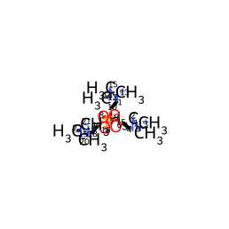 C[N+](C)(C)CCOP(=O)(OCC[N+](C)(C)C)OCC[N+](C)(C)C